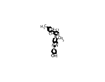 Cc1cnc(-c2cc(N3CCc4nc(N5CCC(O)CC5)ncc4[C@H]3C)ncc2Cl)c(C)c1